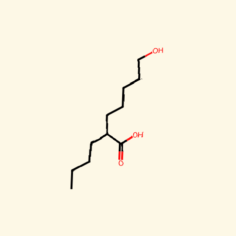 CCCCC(CCC[CH]CO)C(=O)O